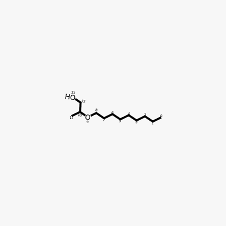 CCCCCCCCCOC(C)CO